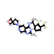 Cc1nc(NC(C)c2cccc(C(F)F)c2F)c2cc(N3CCC4(COC4)C3)ncc2n1